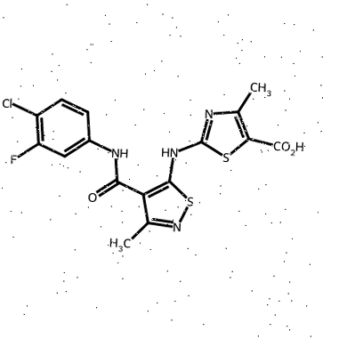 Cc1nc(Nc2snc(C)c2C(=O)Nc2ccc(Cl)c(F)c2)sc1C(=O)O